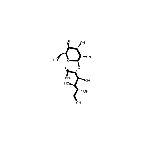 NC(=O)[C@H](O[C@H]1O[C@H](CO)[C@@H](O)[C@H](O)[C@H]1O)[C@@H](O)[C@H](O)[C@H](O)CO